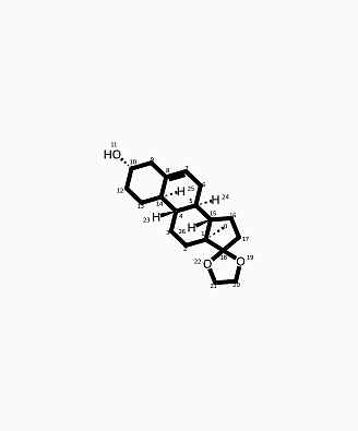 C[C@]12CC[C@H]3[C@@H](CC=C4C[C@@H](O)CC[C@@H]43)[C@@H]1CCC21OCCO1